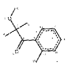 COC(C)(C)C(=O)c1ccccc1C